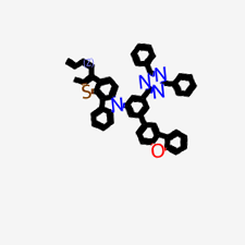 C=C/C=C\c1c(C)sc2c1ccc1c2c2ccccc2n1-c1cc(-c2ccc3oc4ccccc4c3c2)cc(-c2nc(-c3ccccc3)nc(-c3ccccc3)n2)c1